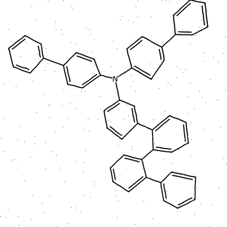 c1ccc(-c2ccc(N(c3ccc(-c4ccccc4)cc3)c3cccc(-c4ccccc4-c4ccccc4-c4ccccc4)c3)cc2)cc1